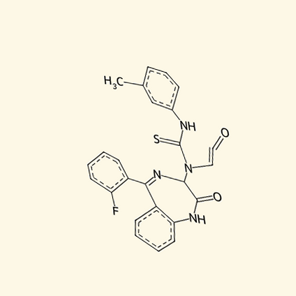 Cc1cccc(NC(=S)N(C=C=O)C2N=C(c3ccccc3F)c3ccccc3NC2=O)c1